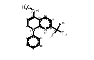 CNC1=CCN(c2ccccc2)c2nc(C(F)(F)F)ccc21